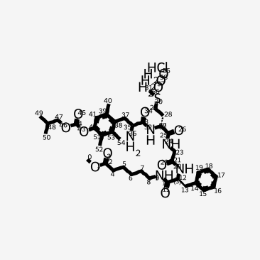 COC(=O)CCCCCNC(=O)[C@H](Cc1ccccc1)NC(=O)CNC(=O)[C@@H](CCSC)NC(=O)C(N)Cc1c(C)cc(OC(=O)OCC(C)C)c(C)c1C.Cl.O.O.O